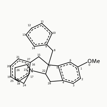 COc1ccc2c(c1)C(Cc1ccccc1)(Cc1ccccc1)C(N1CCCC1)C2